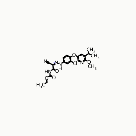 CCOC(=O)NC(=O)/C(C#N)=N\Nc1ccc(Oc2cnc(OC)c(C(C)C)c2)c(Cl)c1